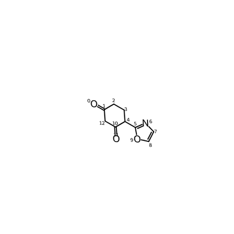 O=C1CCC(c2ncco2)C(=O)C1